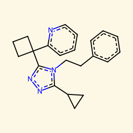 c1ccc(CCn2c(C3CC3)nnc2C2(c3ccccn3)CCC2)cc1